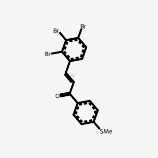 CSc1ccc(C(=O)/C=C/c2ccc(Br)c(Br)c2Br)cc1